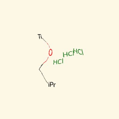 CC(C)C[O][Ti].Cl.Cl.Cl